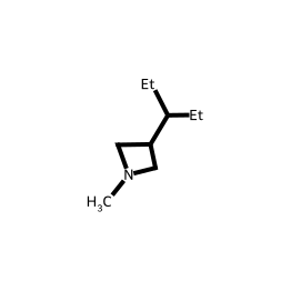 CCC(CC)C1CN(C)C1